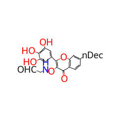 CCCCCCCCCCc1ccc2c(=O)c(ONCC=O)c(-c3cc(O)c(O)c(O)c3)oc2c1